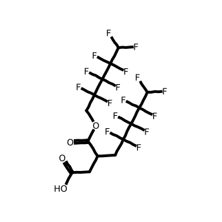 O=C(O)CC(CC(F)(F)C(F)(F)C(F)(F)C(F)F)C(=O)OCC(F)(F)C(F)(F)C(F)(F)C(F)F